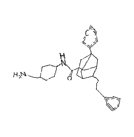 NCC1CCC(NC(=O)C23CC4CC(c5ccccc5)(CC(C2)C4CCc2c#cccc2)C3)CC1